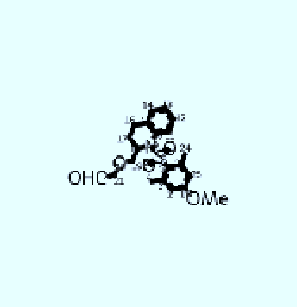 COc1cc(C)c(S(=O)(=O)N2c3ccccc3CCC2COCC=O)c(C)c1